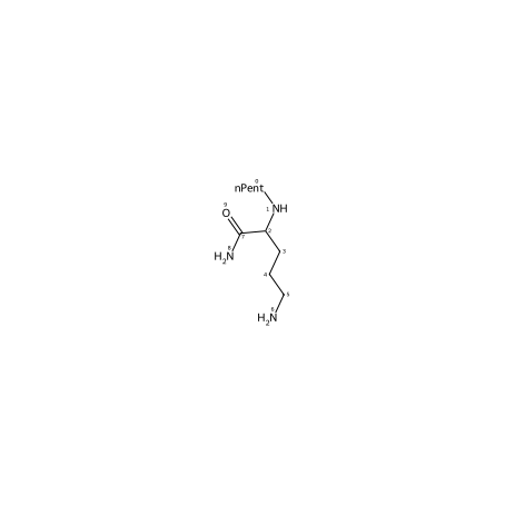 CCCCCNC(CCCN)C(N)=O